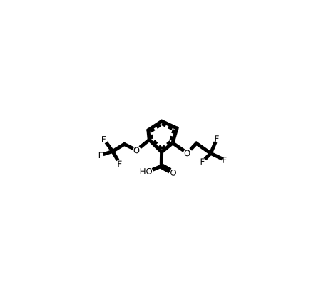 O=C(O)c1c(OCC(F)(F)F)cccc1OCC(F)(F)F